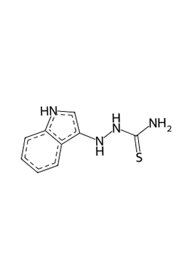 NC(=S)NNc1c[nH]c2ccccc12